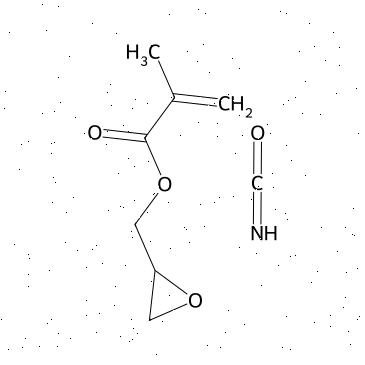 C=C(C)C(=O)OCC1CO1.N=C=O